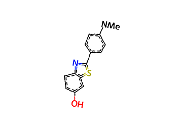 CNc1ccc(-c2nc3ccc(O)cc3s2)cc1